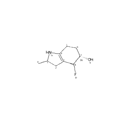 CC1CC2=C(CC[C@H](O)C2F)N1